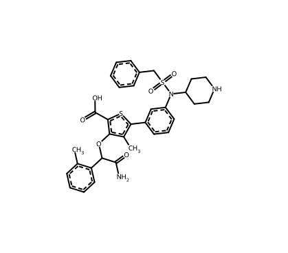 Cc1ccccc1C(Oc1c(C(=O)O)sc(-c2cccc(N(C3CCNCC3)S(=O)(=O)Cc3ccccc3)c2)c1C)C(N)=O